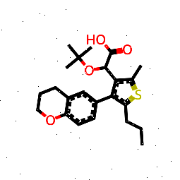 CCCc1sc(C)c(C(OC(C)(C)C)C(=O)O)c1-c1ccc2c(c1)CCCO2